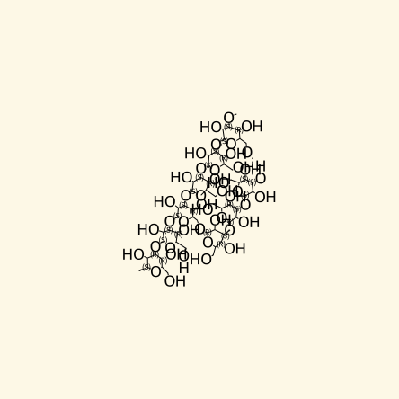 COCC1O[C@@H](O[C@@H]2C(O)[C@H](O[C@@H]3C(O)[C@H](O[C@@H]4C(O)[C@H](O[C@@H]5C(O)[C@H](O[C@@H]6C(O)[C@H](C)OC(CO)[C@H]6O)OC(CO)[C@H]5O)OC(CO[C@@H]5OC(CO)[C@@H](O)[C@H](O[C@@H]6OC(CO)[C@@H](O)[C@H](O[C@@H]7OC(CO)[C@@H](O)[C@H](O)C7O)C6O)C5O)[C@H]4O)OC(CO)[C@H]3O)OC(CO)[C@H]2O)C(O)[C@@H](OC)[C@@H]1O